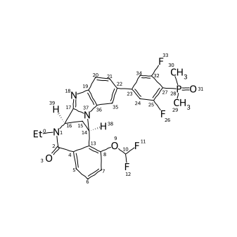 CCN1C(=O)c2cccc(OC(F)F)c2[C@H]2C[C@@H]1c1nc3ccc(-c4cc(F)c(P(C)(C)=O)c(F)c4)cc3n12